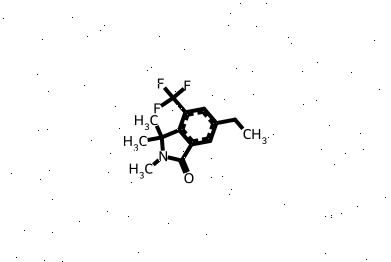 CCc1cc2c(c(C(F)(F)F)c1)C(C)(C)N(C)C2=O